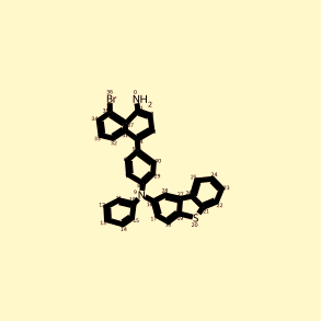 Nc1ccc(-c2ccc(N(c3ccccc3)c3ccc4sc5ccccc5c4c3)cc2)c2cccc(Br)c12